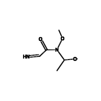 CON(C(=O)C=N)C(C)[O]